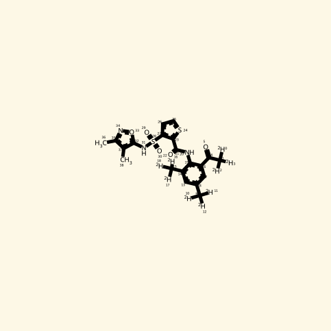 [2H]C([2H])([2H])C(=O)c1cc(C([2H])([2H])[2H])cc(C([2H])([2H])[2H])c1NC(=O)c1sccc1S(=O)(=O)Nc1onc(C)c1C